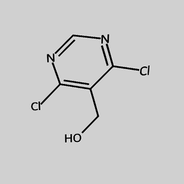 OCc1c(Cl)ncnc1Cl